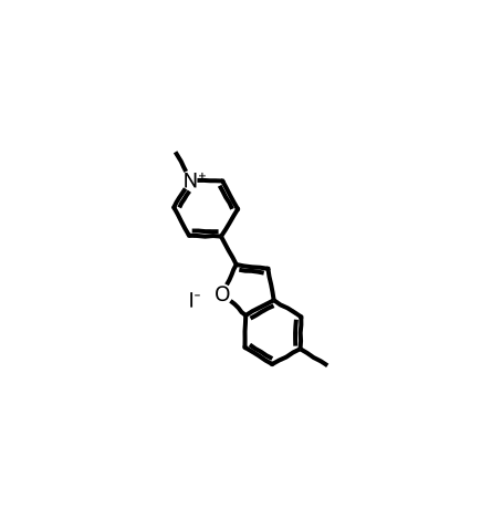 Cc1ccc2oc(-c3cc[n+](C)cc3)cc2c1.[I-]